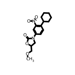 COCC1CN(c2ccc(C3CCCCC3)c([N+](=O)[O-])c2)C(=O)O1